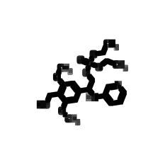 CCOP(=O)(OCC)OCC(Nc1cccnc1)c1cc(OC)c(CO)c(OC)c1